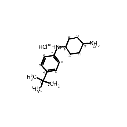 CC(C)(C)c1ccc(NC2CCC(N)CC2)cc1.Cl